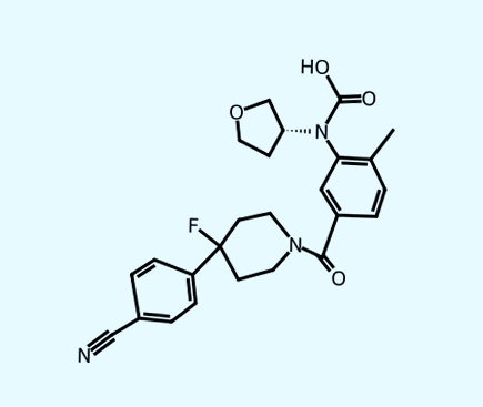 Cc1ccc(C(=O)N2CCC(F)(c3ccc(C#N)cc3)CC2)cc1N(C(=O)O)[C@@H]1CCOC1